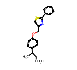 CC(CC(=O)O)c1ccc(OCc2csc(-c3ccccc3)n2)cc1